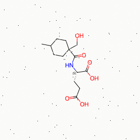 CC1CCC(CO)(C(=O)N[C@@H](CCC(=O)O)C(=O)O)CC1